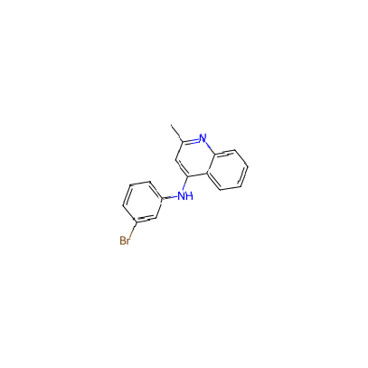 Cc1cc(Nc2cccc(Br)c2)c2ccccc2n1